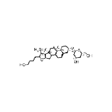 C[C@@H]1C(CCCCO)OC2CC3C4CC=C5C[C@@H](O[C@H]6C[C@@H](O)C[C@@H](CO)O6)CC[C@]5(C)C4CC[C@]3(C)C21